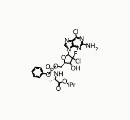 CC(C)OC(=O)[C@H](C)NP(=O)(OC[C@H]1O[C@@H](n2cnc3c(Cl)nc(N)nc32)C(F)(Cl)C1O)Oc1ccccc1